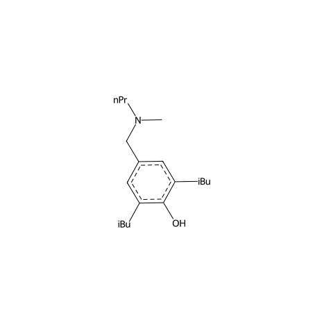 CCCN(C)Cc1cc(C(C)CC)c(O)c(C(C)CC)c1